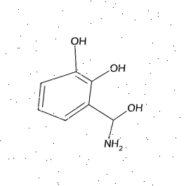 NC(O)c1cccc(O)c1O